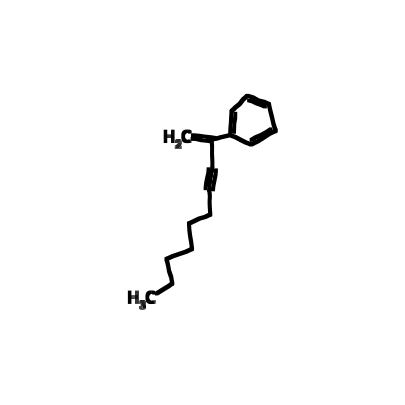 C=C(C#CCCCCCC)c1ccccc1